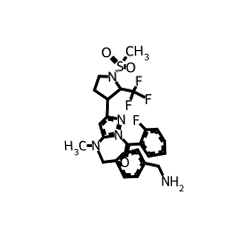 CN(Cc1ccc(CN)cc1)c1cc(C2CCN(S(C)(=O)=O)C2C(F)(F)F)nn1C(=O)c1ccccc1F